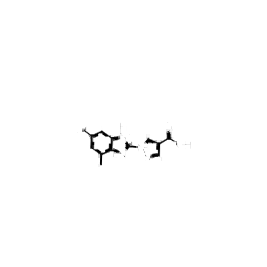 Cc1cc(Cl)cc2[nH]c(-n3cc(C(=O)O)cn3)nc12